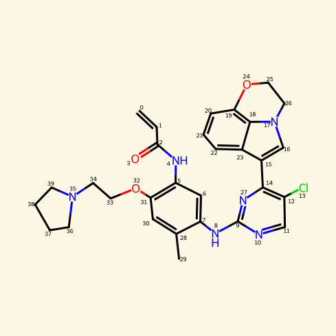 C=CC(=O)Nc1cc(Nc2ncc(Cl)c(-c3cn4c5c(cccc35)OCC4)n2)c(C)cc1OCCN1CCCC1